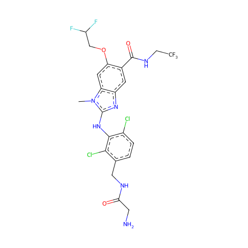 Cn1c(Nc2c(Cl)ccc(CNC(=O)CN)c2Cl)nc2cc(C(=O)NCC(F)(F)F)c(OCC(F)F)cc21